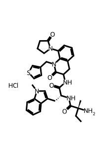 CC[C@@](C)(N)C(=O)N[C@H](Cc1cn(C)c2ccccc12)C(=O)NC1Cc2cccc(N3CCCC3=O)c2N(Cc2ccsc2)C1=O.Cl